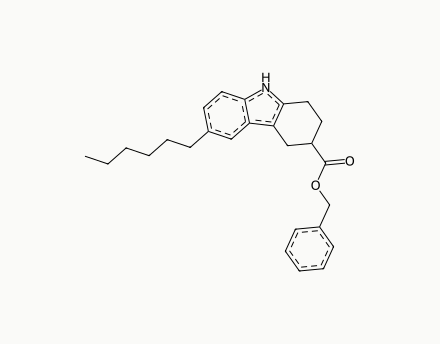 CCCCCCc1ccc2[nH]c3c(c2c1)CC(C(=O)OCc1ccccc1)CC3